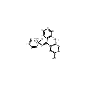 Nc1ccc(Cl)cc1C(=NC1(Cl)C=CC=CN1)c1ccccc1